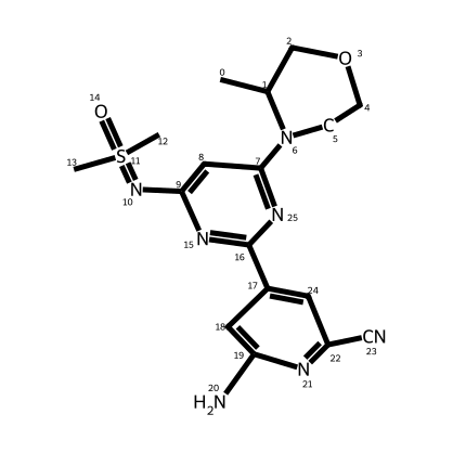 CC1COCCN1c1cc(N=S(C)(C)=O)nc(-c2cc(N)nc(C#N)c2)n1